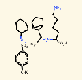 NC1CCCCC1.NCCCC[C@H](N)C(=O)O.O=C(O)CC1CC2CCC1C2.O=Cc1ccc([N+](=O)[O-])cc1